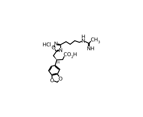 CC(=N)NCCCCc1noc(C[C@@H](CC(=O)O)c2ccc3c(c2)OCO3)n1.Cl